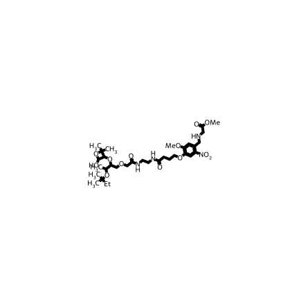 CCC(C)(C)OC(C)C(COCC(=O)NCCNC(=O)CCCOc1cc([N+](=O)[O-])c(CNCC(=O)OC)cc1OC)OC1C(O)OC1(C)C